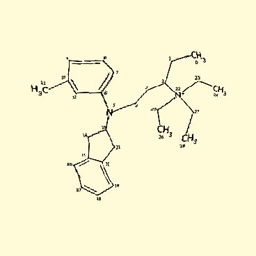 CCC(CCN(c1cccc(C)c1)C1Cc2ccccc2C1)[N+](CC)(CC)CC